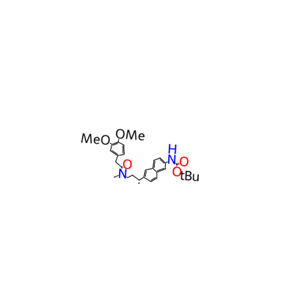 COc1ccc(CC(=O)N(C)CC[CH]c2ccc3cc(NC(=O)OC(C)(C)C)ccc3c2)cc1OC